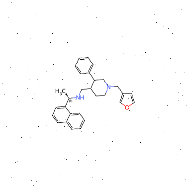 C[C@@H](NCC1CCN(Cc2ccoc2)CC1c1ccccc1)c1cccc2ccccc12